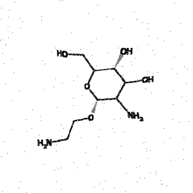 NCCO[C@@H]1OC(CO)[C@H](O)C(O)C1N